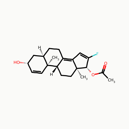 CC(=O)O[C@H]1C(F)=CC2=C3CC[C@@H]4C[C@@H](O)C=C[C@]4(C)[C@H]3CC[C@@]21C